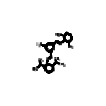 Cc1cc(C=Nc2c(C)cccc2C)nc(C=Nc2c(C(C)C)cccc2C(C)C)c1